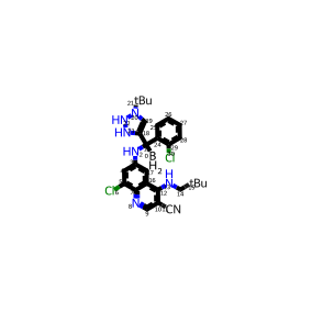 BC(Nc1cc(Cl)c2ncc(C#N)c(NCC(C)(C)C)c2c1)(C1=CN(C(C)(C)C)NN1)c1ccccc1Cl